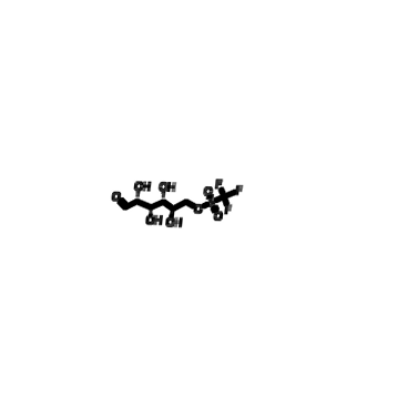 O=C[C@H](O)[C@@H](O)[C@H](O)[C@H](O)COS(=O)(=O)C(F)(F)F